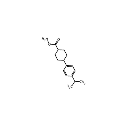 CC(C)c1ccc(C2CCC(C(=O)ON)CC2)cc1